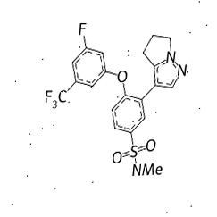 CNS(=O)(=O)c1ccc(Oc2cc(F)cc(C(F)(F)F)c2)c(-c2cnn3c2CCC3)c1